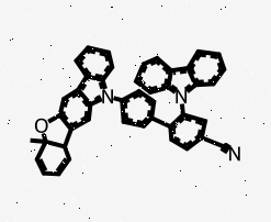 CC12C=CC=CC1c1cc3c(cc1O2)c1ccccc1n3-c1ccc(-c2ccc(C#N)cc2-n2c3ccccc3c3ccccc32)cc1